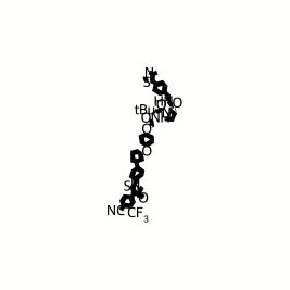 Cc1ncsc1-c1ccc(CNC(=O)[C@@H]2CCCN2C(=O)C(NC(=O)COc2ccc(Oc3cccc(-c4ccc(N5CC(=O)N(c6ccc(C#N)c(C(F)(F)F)c6)C5=S)cc4)c3)cc2)C(C)(C)C)cc1